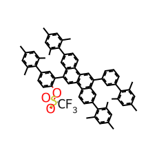 Cc1cc(C)c(-c2cccc(-c3cc4c5ccc(-c6c(C)cc(C)cc6C)cc5c(-c5cc(-c6c(C)cc(C)cc6C)ccc5OS(=O)(=O)C(F)(F)F)cc4c4ccc(-c5c(C)cc(C)cc5C)cc34)c2)c(C)c1